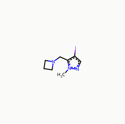 Cn1ncc(I)c1CN1CCC1